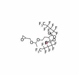 CC(OCCC(S(=O)(=O)C(F)(F)C(F)(F)C(F)(F)C(F)(F)F)S(=O)(=O)C(F)(F)C(F)(F)C(F)(F)C(F)(F)F)OCC1CO1